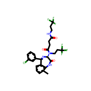 Cc1cccc2c1NC(=O)[C@H](N(CCC(F)(F)F)C(=O)CCC(=O)NCCC(F)(F)F)N=C2c1cccc(Cl)c1